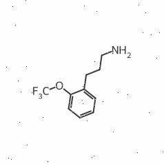 NCCCc1ccccc1OC(F)(F)F